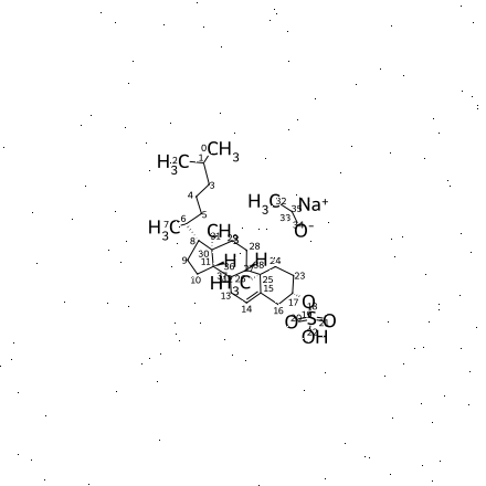 CC(C)CCCC(C)[C@H]1CC[C@H]2[C@@H]3CC=C4C[C@@H](OS(=O)(=O)O)CC[C@]4(C)[C@H]3CC[C@]12C.CC[O-].[Na+]